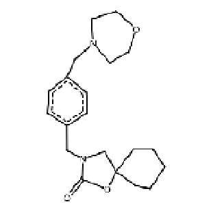 O=C1OC2(CCCCC2)CN1Cc1ccc(CN2CCOCC2)cc1